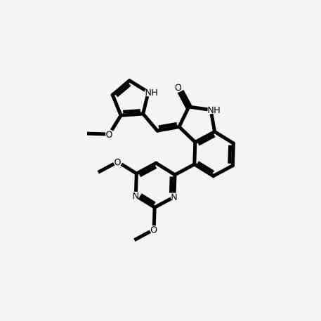 COc1cc(-c2cccc3c2C(=Cc2[nH]ccc2OC)C(=O)N3)nc(OC)n1